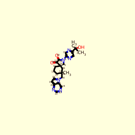 CC(C)(O)c1cnc(N2C[C@@]3(CCC[C@](C)(Cn4ccc5ncncc54)C3)C(=O)C2=O)cn1